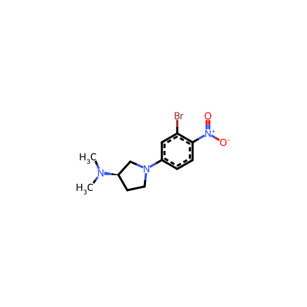 CN(C)[C@@H]1CCN(c2ccc([N+](=O)[O-])c(Br)c2)C1